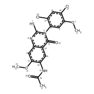 COc1cc(-n2c(S)nc3cc(OC)c(NC(C)=O)cc3c2=O)c(Cl)cc1Cl